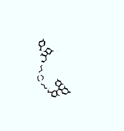 COc1ccc2c(c1)c(CC(=O)NCCCN1CCN(CCCNC(=O)c3ccc(C(=O)O)c(-c4c5ccc(=O)cc-5oc5cc(O)ccc45)c3)CC1)c(C)n2C(=O)c1ccc(Cl)cc1